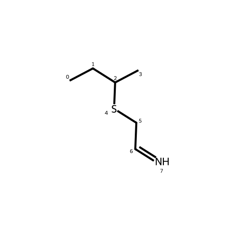 CCC(C)SCC=N